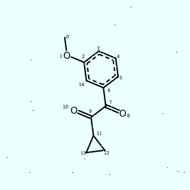 COc1cccc(C(=O)C(=O)C2CC2)c1